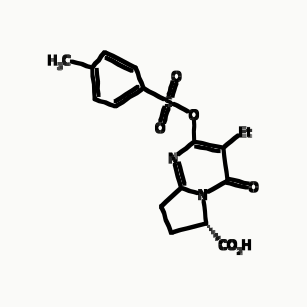 CCc1c(OS(=O)(=O)c2ccc(C)cc2)nc2n(c1=O)[C@H](C(=O)O)CC2